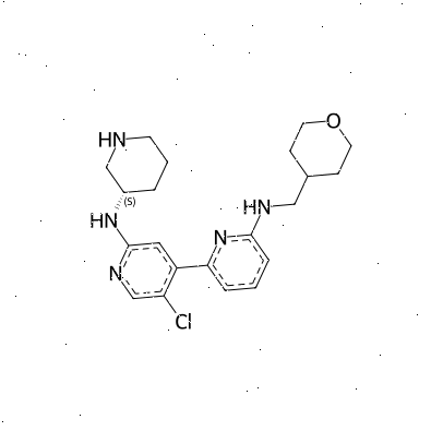 Clc1cnc(N[C@H]2CCCNC2)cc1-c1cccc(NCC2CCOCC2)n1